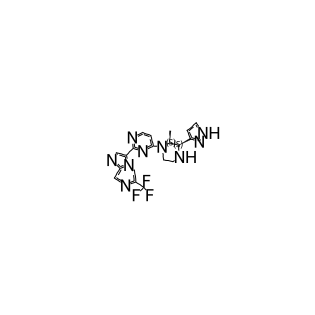 C[C@H]1[C@@H](c2cc[nH]n2)NCCN1c1ccnc(-c2cnc3cnc(C(F)(F)F)cn23)n1